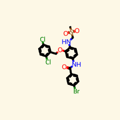 CS(=O)(=O)CNc1ccc(NC(=O)c2ccc(Br)cc2)cc1OCc1cc(Cl)ccc1Cl